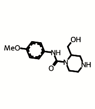 COc1ccc(NC(=O)N2CCNCC2CO)cc1